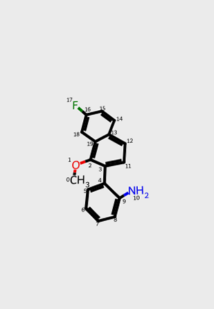 COc1c(-c2ccccc2N)ccc2ccc(F)cc12